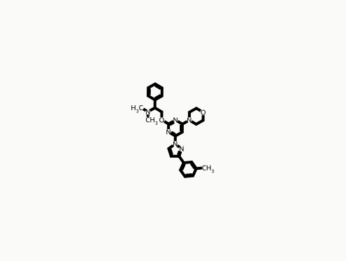 Cc1cccc(-c2ccn(-c3cc(N4CCOCC4)nc(OCC(c4ccccc4)N(C)C)n3)n2)c1